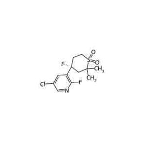 CC1(C)C[C@@](F)(c2cc(Cl)cnc2F)CCS1(=O)=O